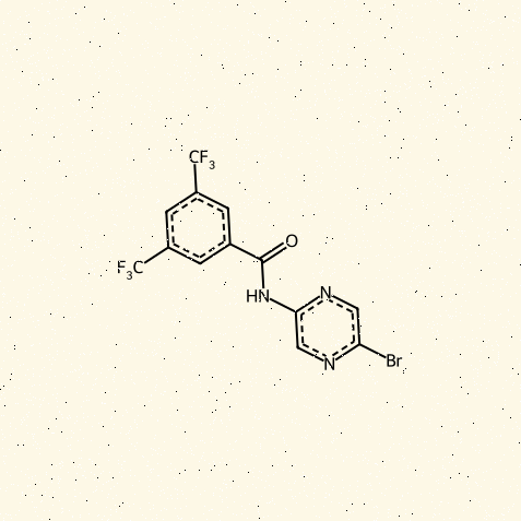 O=C(Nc1cnc(Br)cn1)c1cc(C(F)(F)F)cc(C(F)(F)F)c1